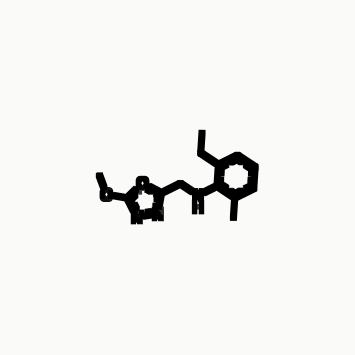 CCc1cccc(C)c1NCc1nnc(OC)o1